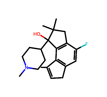 CC1=CCc2cc(F)c3c(c21)C(O)(C1CCN(C)CC1)C(C)(C)C3